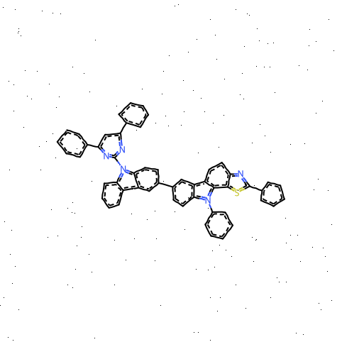 c1ccc(-c2cc(-c3ccccc3)nc(-n3c4ccccc4c4cc(-c5ccc6c(c5)c5ccc7nc(-c8ccccc8)sc7c5n6-c5ccccc5)ccc43)n2)cc1